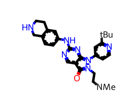 CNCCn1c(=O)c2cnc(Nc3ccc4c(c3)CCNC4)nc2n1-c1ccnc(C(C)(C)C)c1